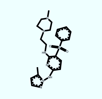 Cc1ccnn1Nc1ccc(S(=O)(=O)c2ccccc2)c(NCCN2CCN(C)CC2)n1